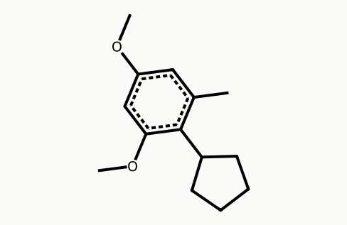 COc1cc(C)c(C2CCCC2)c(OC)c1